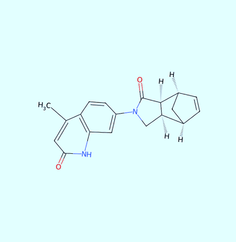 Cc1cc(=O)[nH]c2cc(N3C[C@H]4[C@@H](C3=O)[C@H]3C=C[C@@H]4C3)ccc12